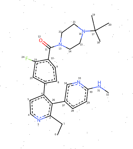 CCc1nccc(-c2ccc(C(=O)N3CCN(C(C)(C)C)CC3)c(F)c2)c1-c1ccc(NC)nc1